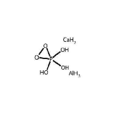 OP1(O)(O)OO1.[AlH3].[CaH2]